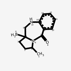 BC12CCC(C)N1C(=O)c1ccccc1NC2